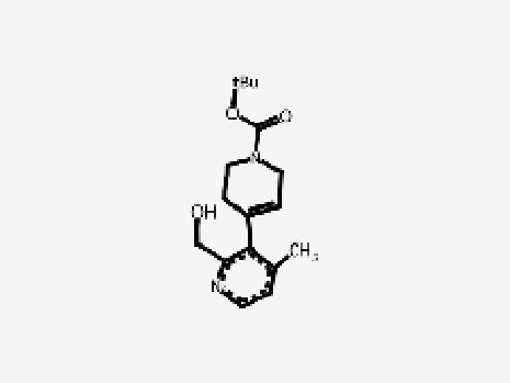 Cc1ccnc(CO)c1C1=CCN(C(=O)OC(C)(C)C)CC1